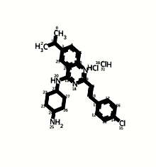 CC(C)c1ccc2nc(/C=C/c3ccc(Cl)cc3)nc(NC3CCC(N)CC3)c2c1.Cl.Cl